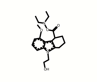 CCN(CC)OC(=O)C1CCCc2c1c1c(OC)cccc1n2CCO